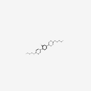 CCCCCC1C=CC(c2ccc(C3CCC(CCCCC)CC3)cc2F)CC1